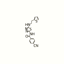 N#Cc1ccc(C(=O)Nc2nnc(NCCc3cccs3)s2)cc1